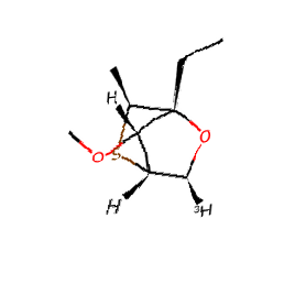 [3H][C@@H]1O[C@@]2(CC)[C@H](C)S[C@@H]1[C@@H]2OC